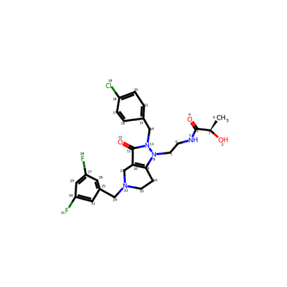 C[C@@H](O)C(=O)NCCn1c2c(c(=O)n1Cc1ccc(Cl)cc1)CN(Cc1cc(F)cc(F)c1)CC2